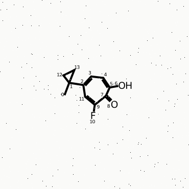 CC1(c2ccc(O)c(=O)c(F)c2)CC1